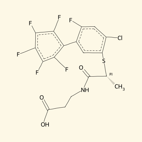 C[C@@H](Sc1cc(-c2c(F)c(F)c(F)c(F)c2F)c(F)cc1Cl)C(=O)NCCC(=O)O